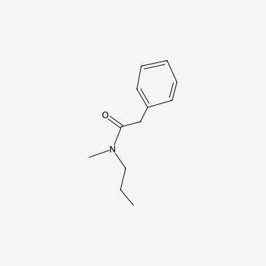 CCCN(C)C(=O)Cc1ccccc1